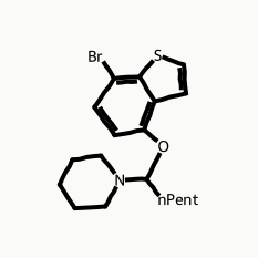 CCCCCC(Oc1ccc(Br)c2sccc12)N1CCCCC1